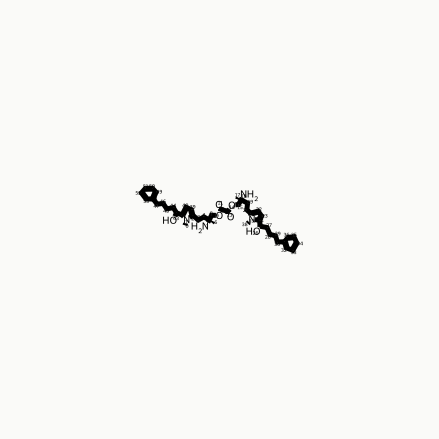 Cn1c(CC[C@@](C)(N)COC(=O)C(=O)OC[C@](C)(N)CCc2ccc(C(O)CCCCc3ccccc3)n2C)ccc1C(O)CCCCc1ccccc1